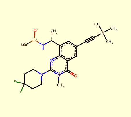 C[C@@H](N[S+]([O-])C(C)(C)C)c1cc(C#C[Si](C)(C)C)cc2c(=O)n(C)c(N3CCC(F)(F)CC3)nc12